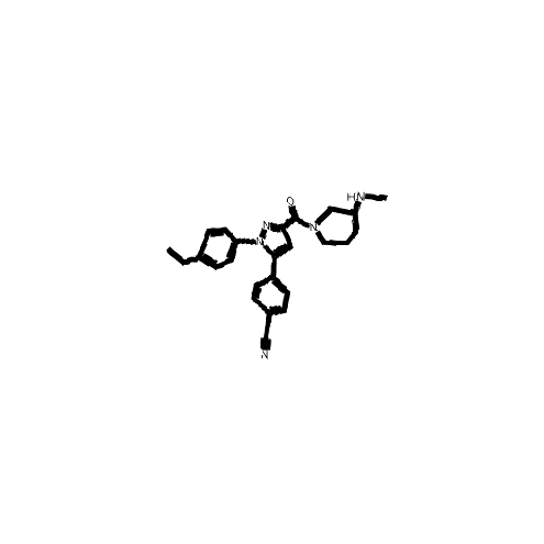 CCc1ccc(-n2nc(C(=O)N3CCCC(NC)C3)cc2-c2ccc(C#N)cc2)cc1